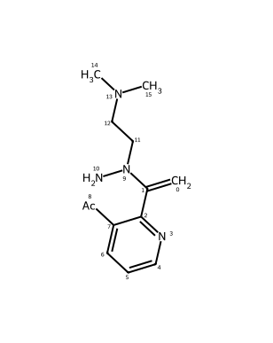 C=C(c1ncccc1C(C)=O)N(N)CCN(C)C